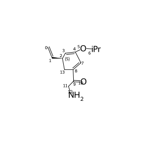 C=C[C@H]1C=C(OC(C)C)C=C(C(=O)CN)C1